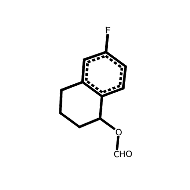 O=COC1CCCc2cc(F)ccc21